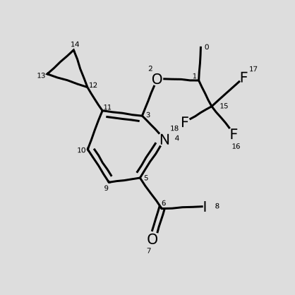 CC(Oc1nc(C(=O)I)ccc1C1CC1)C(F)(F)F